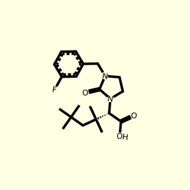 CC(C)(C)CC(C)(C)[C@@H](C(=O)O)N1CCN(Cc2cccc(F)c2)C1=O